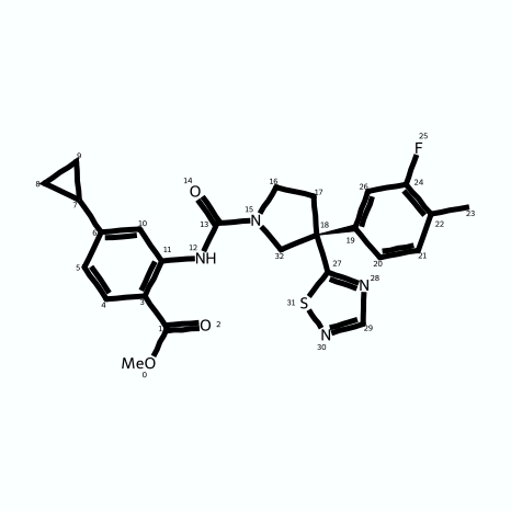 COC(=O)c1ccc(C2CC2)cc1NC(=O)N1CC[C@](c2ccc(C)c(F)c2)(c2ncns2)C1